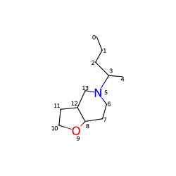 CCCC(C)N1CCC2OCCC2C1